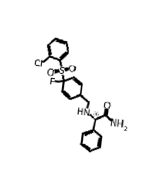 NC(=O)[C@H](NCC1C=CC(F)(S(=O)(=O)c2ccccc2Cl)C=C1)c1ccccc1